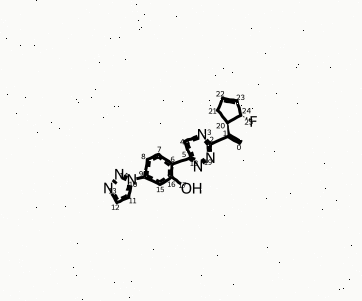 C=C(c1ncc(-c2ccc(-n3ccnn3)cc2O)nn1)[C@H]1CC=C[C@@H]1F